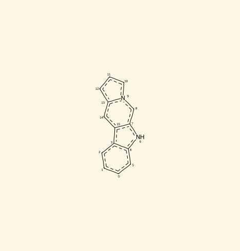 c1ccc2c(c1)[nH]c1cn3cccc3cc12